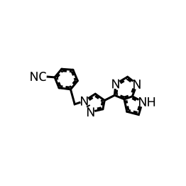 N#Cc1cccc(Cn2cc(-c3ncnc4[nH]ccc34)cn2)c1